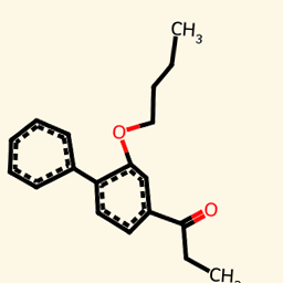 CCCCOc1cc(C(=O)CC)ccc1-c1ccccc1